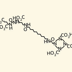 O=C(O)CCC(NC(=O)NC(CCCCNC(=O)CCCCCCCCCCCNC(=O)CN1CCN(CC(=O)O)CCN(CC(=O)O)CCN(CC(=O)O)CC1)C(=O)O)C(=O)O